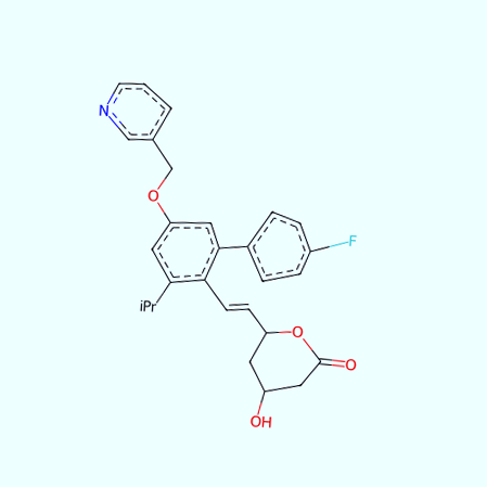 CC(C)c1cc(OCc2cccnc2)cc(-c2ccc(F)cc2)c1/C=C/C1CC(O)CC(=O)O1